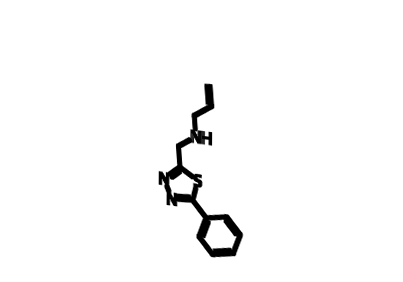 C=CCNCc1nnc(-c2ccccc2)s1